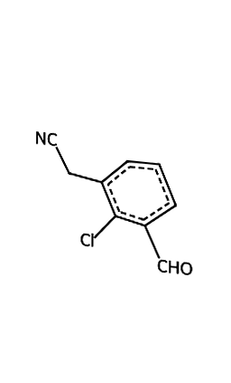 N#CCc1cccc(C=O)c1Cl